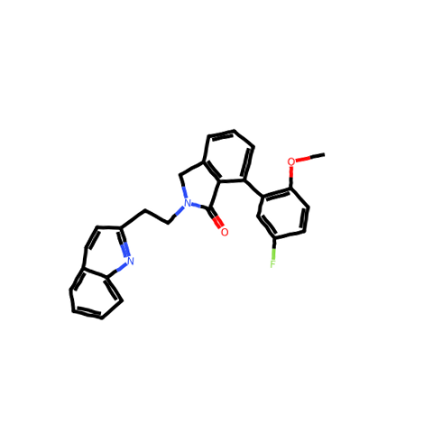 COc1ccc(F)cc1-c1cccc2c1C(=O)N(CCc1ccc3ccccc3n1)C2